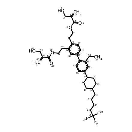 C=C(CO)C(=O)OCCc1ccc(-c2ccc(C3CCC(CCCCC(F)(F)F)CC3)cc2CC)cc1CCOC(=O)C(=C)CO